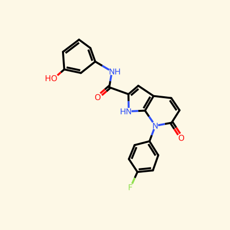 O=C(Nc1cccc(O)c1)c1cc2ccc(=O)n(-c3ccc(F)cc3)c2[nH]1